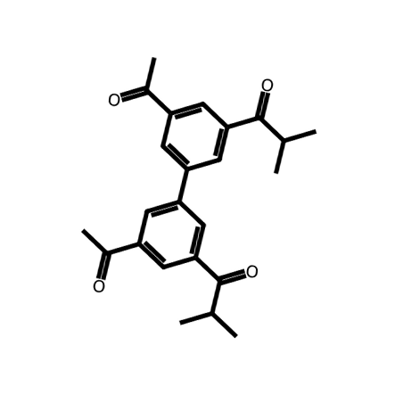 CC(=O)c1cc(C(=O)C(C)C)cc(-c2cc(C(C)=O)cc(C(=O)C(C)C)c2)c1